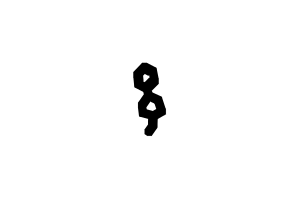 CC=C1CCC(c2ccccc2)CC1